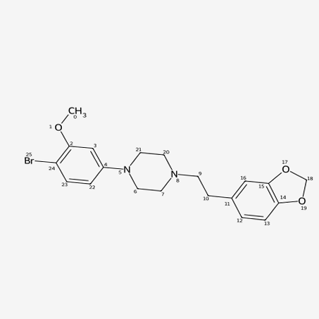 COc1cc(N2CCN(CCc3ccc4c(c3)OCO4)CC2)ccc1Br